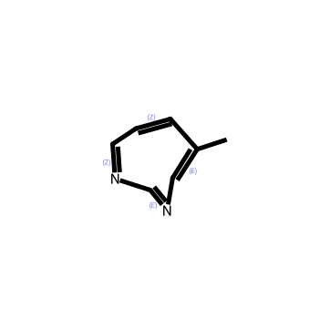 CC1=C\N=C\N=C/C=C\1